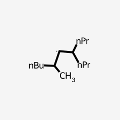 CCCCC(C)[CH]C(CCC)CCC